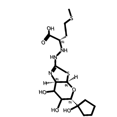 CSCC[C@H](NNC1=N[C@@H]2C(O)C(O)[C@@H](C3(O)CCCC3)O[C@@H]2S1)C(=O)O